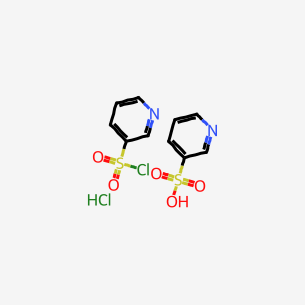 Cl.O=S(=O)(Cl)c1cccnc1.O=S(=O)(O)c1cccnc1